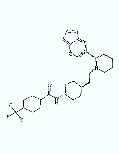 O=C(N[C@H]1CC[C@H](CCN2CCCCC2c2coc3cccc-3c2)CC1)C1CCC(C(F)(F)F)CC1